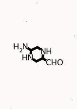 NC1CNC(C=O)CN1